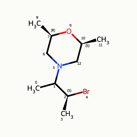 CC([C@H](C)Br)N1C[C@@H](C)O[C@@H](C)C1